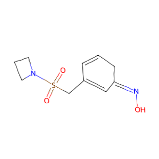 O=S(=O)(CC1=CC(=NO)CC=C1)N1CCC1